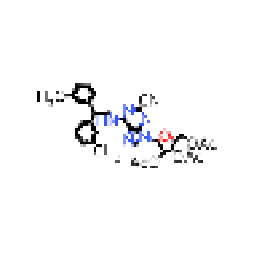 CC(=O)OCC1OC(n2cnc3c(NCC(c4cccc(C)c4)c4cccc(C)c4)nc(C#N)nc32)C(OC(C)=O)C1OC(C)=O